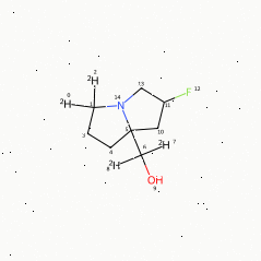 [2H]C1([2H])CCC2(C([2H])([2H])O)CC(F)CN12